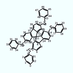 c1ccc(Sc2ccc3c(c2)C2(c4cc(Sc5ccccc5)ccc4-3)c3cc(Sc4ccccc4)ccc3-c3ccc(Sc4ccccc4)cc32)cc1